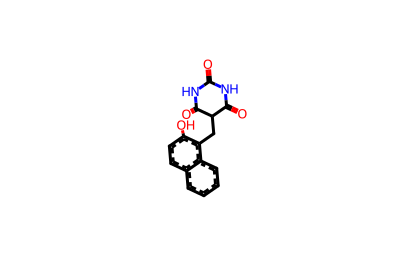 O=C1NC(=O)C(Cc2c(O)ccc3ccccc23)C(=O)N1